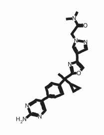 CN(C)C(=O)Cn1cc(-c2coc(C(C)(c3ccc(-c4cnc(N)nc4)cc3)C3CC3)n2)cn1